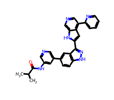 CC(C)C(=O)Nc1cncc(-c2ccc3[nH]nc(-c4cc5c(-c6ccccn6)cncc5[nH]4)c3c2)c1